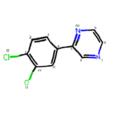 Clc1ccc(-c2cnccn2)cc1Cl